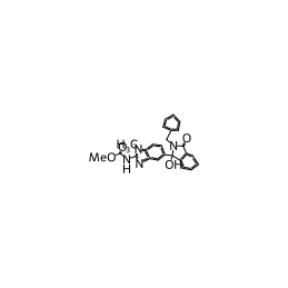 COC(=O)Nc1nc2cc(C3(O)c4ccccc4C(=O)N3Cc3ccccc3)ccc2n1C